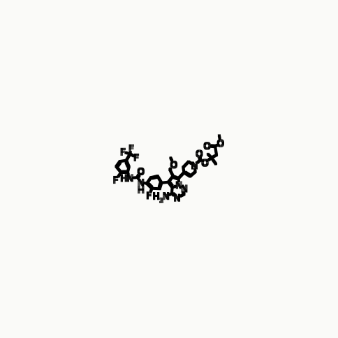 COCc1c(-c2ccc(NC(=O)Nc3cc(C(F)(F)F)ccc3F)c(F)c2)c2c(N)ncnn2c1C1=CCN(C(=O)OC(C)(C)CC(=O)OC)CC1